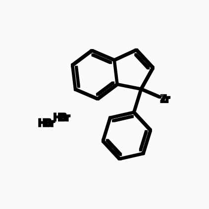 Br.Br.[Zr][C]1(c2ccccc2)C=Cc2ccccc21